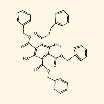 Cc1c(C(=O)OCc2ccccc2)c(C(=O)OCc2ccccc2)c(N)c(C(=O)OCc2ccccc2)c1C(=O)OCc1ccccc1